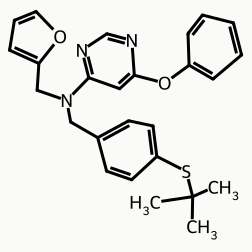 CC(C)(C)Sc1ccc(CN(Cc2ccco2)c2cc(Oc3ccccc3)ncn2)cc1